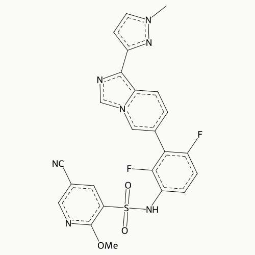 COc1ncc(C#N)cc1S(=O)(=O)Nc1ccc(F)c(-c2ccc3c(-c4ccn(C)n4)ncn3c2)c1F